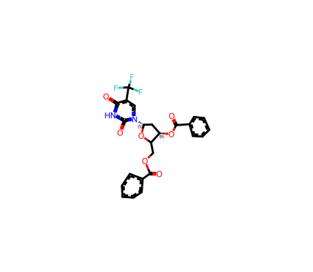 O=C(OCC1O[C@H](n2cc(C(F)(F)F)c(=O)[nH]c2=O)C[C@H]1OC(=O)c1ccccc1)c1ccccc1